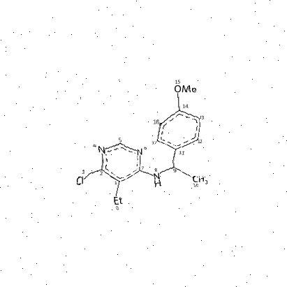 CCc1c(Cl)ncnc1NC(C)c1ccc(OC)cc1